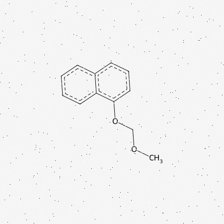 COCOc1cc[c]c2ccccc12